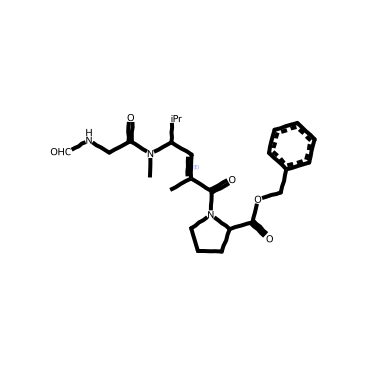 C/C(=C\C(C(C)C)N(C)C(=O)CNC=O)C(=O)N1CCCC1C(=O)OCc1ccccc1